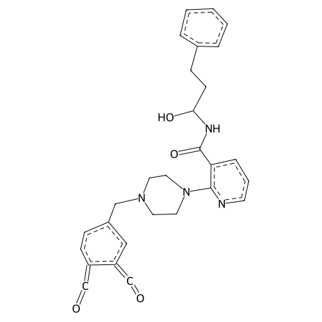 O=C=c1ccc(CN2CCN(c3ncccc3C(=O)NC(O)CCc3ccccc3)CC2)cc1=C=O